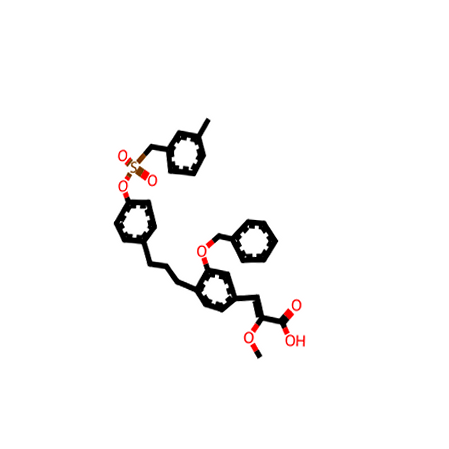 COC(=Cc1ccc(CCCc2ccc(OS(=O)(=O)Cc3cccc(C)c3)cc2)c(OCc2ccccc2)c1)C(=O)O